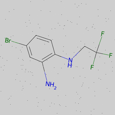 Nc1cc(Br)ccc1NCC(F)(F)F